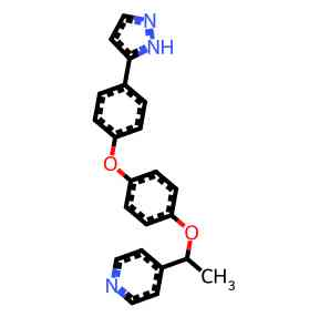 CC(Oc1ccc(Oc2ccc(-c3ccn[nH]3)cc2)cc1)c1ccncc1